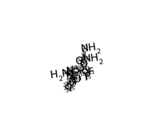 NCCC[C@H](N)C(=O)OCc1cc(F)c(F)cc1-c1ccc2nc(N)nc(C(=O)N3Cc4ccccc4C3)c2c1